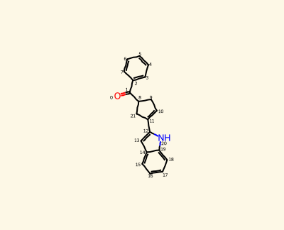 O=C(c1ccccc1)C1CC=C(c2cc3ccccc3[nH]2)C1